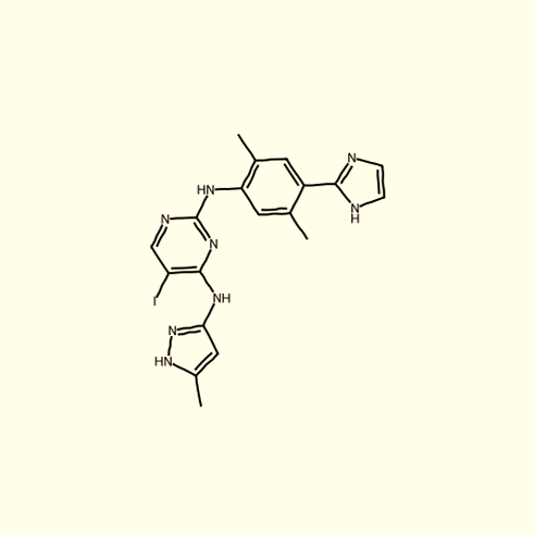 Cc1cc(Nc2nc(Nc3cc(C)c(-c4ncc[nH]4)cc3C)ncc2I)n[nH]1